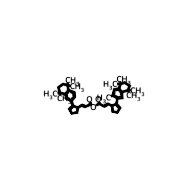 Cc1cc2c(cc1C1=CCCC1C=CC(=O)OC(=O)C=CC1CCC=C1c1ccc3c(c1)C(C)(C)CCC3(C)C)C(C)(C)CCC2(C)C